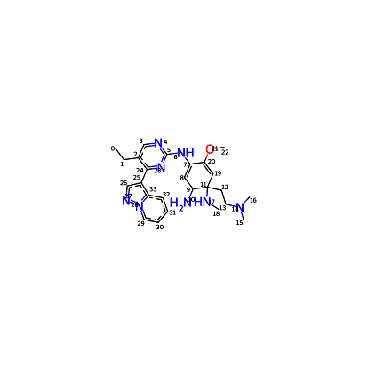 CCc1cnc(NC2=CC(N)C(CCN(C)C)(NC)C=C2OC)nc1-c1cnn2ccccc12